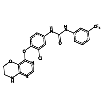 O=C(Nc1cccc(C(F)(F)F)c1)Nc1ccc(Oc2ncnc3c2OCCN3)c(Cl)c1